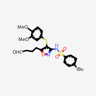 COc1ccc(Sc2c(NS(=O)(=O)c3ccc(C(C)(C)C)cc3)noc2CCCC=O)cc1OC